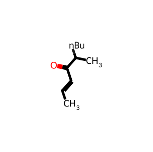 C/C=C/C(=O)C(C)CCCC